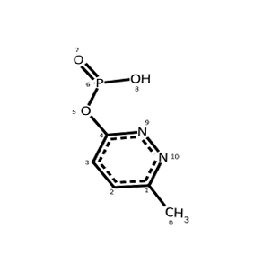 Cc1ccc(O[P](=O)O)nn1